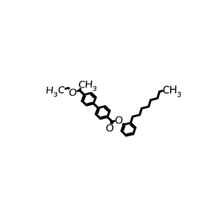 CCCCCCCCc1ccccc1OC(=O)c1ccc(-c2ccc(C(C)OCC)cc2)cc1